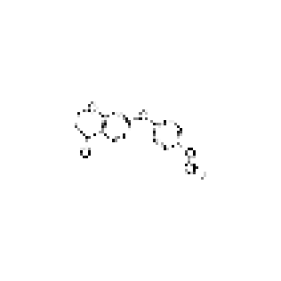 O=C1CCOc2cc(Oc3ccc(OC(F)(F)F)cc3)ccc21